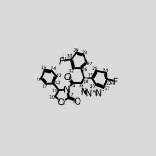 [N-]=[N+]=N[C@H](C(=O)N1C(=O)OCC1c1ccccc1)[C@H](c1ccc(F)cc1)c1cccc(F)c1